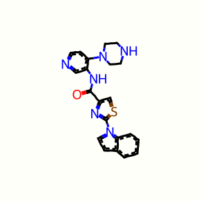 O=C(Nc1cnccc1N1CCNCC1)c1csc(-n2ccc3ccccc32)n1